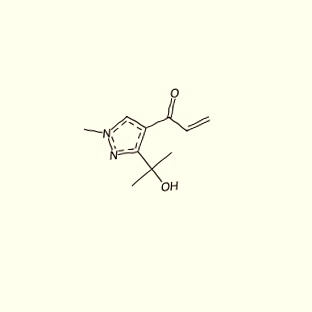 C=CC(=O)c1cn(C)nc1C(C)(C)O